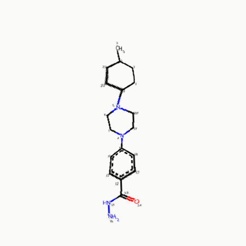 CC1CCC(N2CCN(c3ccc(C(=O)NN)cc3)CC2)CC1